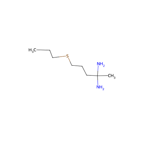 CCCSCCCC(C)(N)N